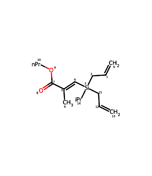 C=CC[Si](C=C(C)C(=O)OCCC)(CC=C)C(C)C